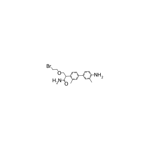 Cc1cc(-c2ccc(C(COCCBr)C(N)=O)c(C)c2)ccc1N